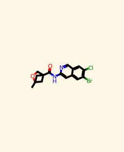 CC12CC(C(=O)Nc3cc4cc(Br)c(Cl)cc4cn3)(CO1)C2